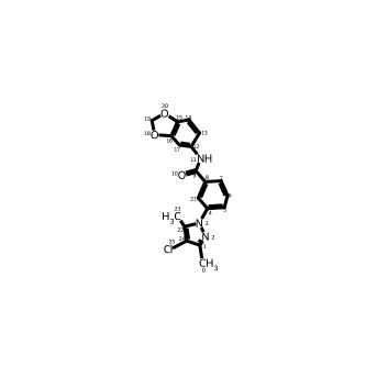 Cc1nn(-c2cccc(C(=O)Nc3ccc4c(c3)OCO4)c2)c(C)c1Cl